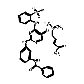 CC(C)S(=O)(=O)c1ccccc1Nc1nc(Nc2cccc(NC(=O)c3ccccc3)c2)ncc1Cl.CN(C)C/C=C/C(N)=O